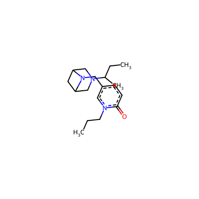 CCCn1cc(CN2C3CC2CN(C(C)CC)C3)ccc1=O